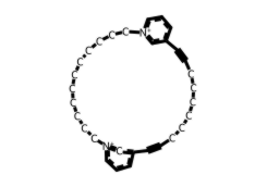 C1#Cc2ccc[n+](c2)CCCCCCCCCCC[n+]2cccc(c2)C#CCCCCCC1